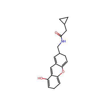 O=C(CC1CC1)NCC1C=C2C=C3C(O)=CCC=C3OC2=CC1